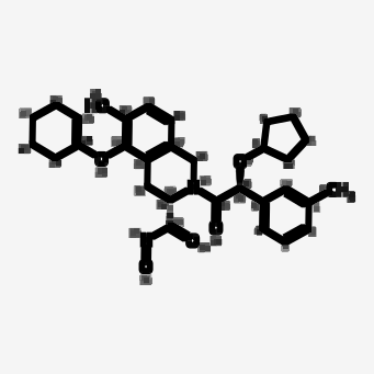 Cc1cccc([C@H](OC2CCCC2)C(=O)N2Cc3ccc(O)c(OC4=CCCCC4)c3C[C@H]2C(=O)N=O)c1